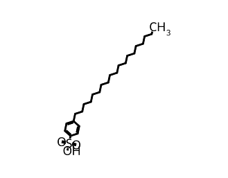 CCCCCCCCCCCCCCCCCCCc1ccc(S(=O)(=O)O)cc1